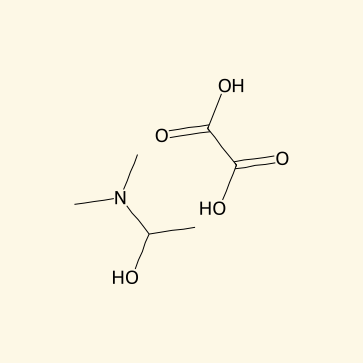 CC(O)N(C)C.O=C(O)C(=O)O